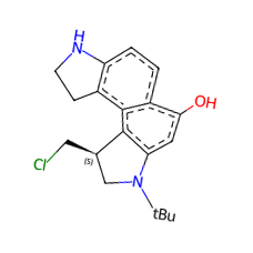 CC(C)(C)N1C[C@@H](CCl)c2c1cc(O)c1ccc3c(c21)CCN3